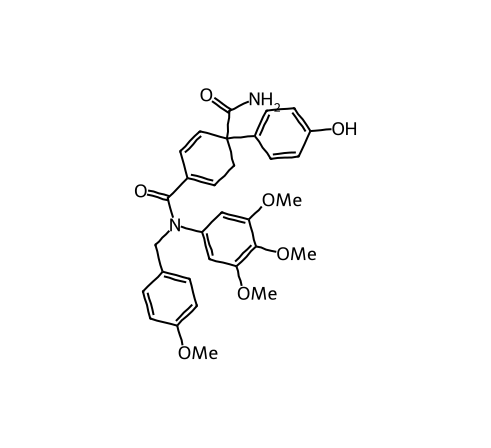 COc1ccc(CN(C(=O)C2=CCC(C(N)=O)(c3ccc(O)cc3)C=C2)c2cc(OC)c(OC)c(OC)c2)cc1